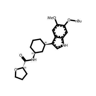 CCCCOc1cc2[nH]cc([C@@H]3CCC[C@H](NC(=O)[C@@H]4CCCO4)C3)c2cc1OC